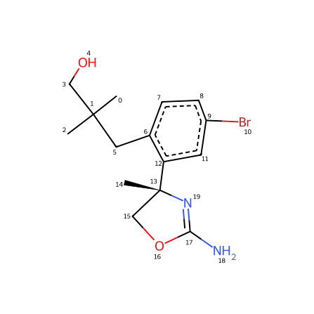 CC(C)(CO)Cc1ccc(Br)cc1[C@@]1(C)COC(N)=N1